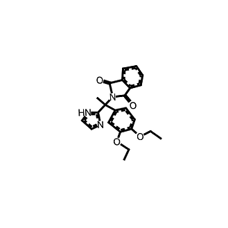 CCOc1ccc(C(C)(c2ncc[nH]2)N2C(=O)c3ccccc3C2=O)cc1OCC